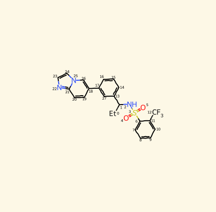 CCC(NS(=O)(=O)c1ccccc1C(F)(F)F)c1cccc(-c2ccc3nccn3c2)c1